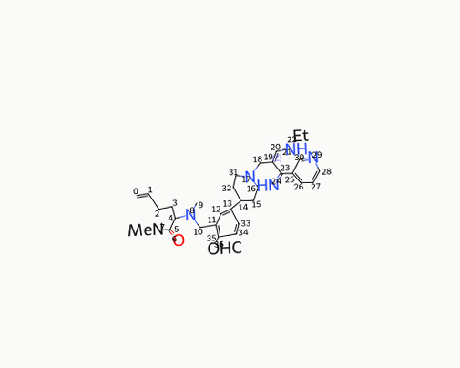 C=CCCC(C(=O)NC)N(C)Cc1cc(C2CCN(C/C(=C/NCC)C(=N)c3cccnc3)CC2)ccc1C=O